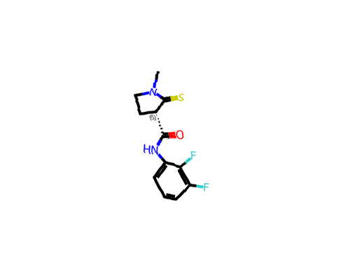 CN1CC[C@@H](C(=O)Nc2cccc(F)c2F)C1=S